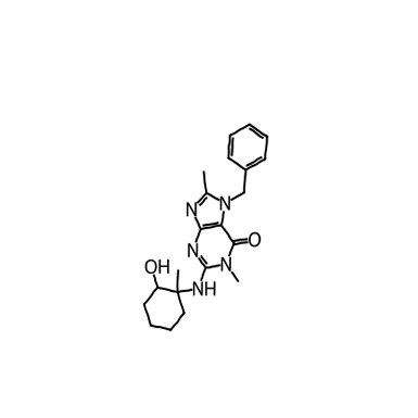 Cc1nc2nc(NC3(C)CCCCC3O)n(C)c(=O)c2n1Cc1ccccc1